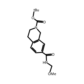 COCNC(=O)c1ccc2c(c1)CN(C(=O)OC(C)(C)C)CC2